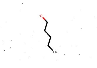 N#CCCCC[O]